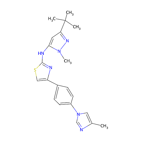 Cc1cn(-c2ccc(-c3csc(Nc4cc(C(C)(C)C)nn4C)n3)cc2)cn1